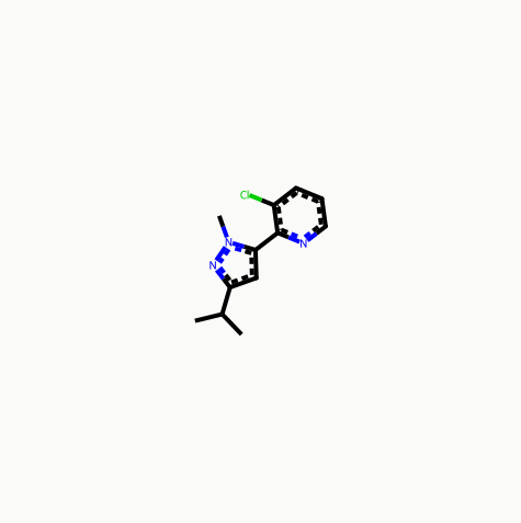 CC(C)c1cc(-c2ncccc2Cl)n(C)n1